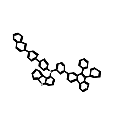 c1ccc(-c2c(-c3ccccc3)c3cc(-c4cccc(N(c5ccc(-c6ccc(-c7ccc8ccccc8c7)cc6)cc5)c5cccc6sc7ccccc7c56)c4)ccc3c3ccccc23)cc1